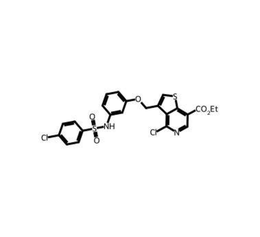 CCOC(=O)c1cnc(Cl)c2c(COc3cccc(NS(=O)(=O)c4ccc(Cl)cc4)c3)csc12